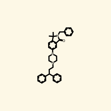 CC1(C)c2ccc(N3CCN(CCC(c4ccccc4)c4ccccc4)CC3)cc2C(=O)N1Cc1ccccc1